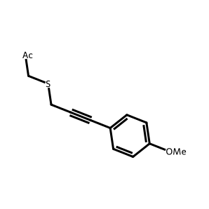 COc1ccc(C#CCSCC(C)=O)cc1